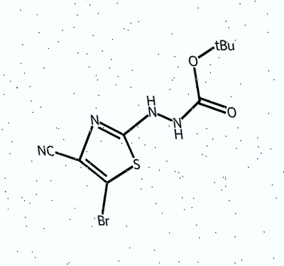 CC(C)(C)OC(=O)NNc1nc(C#N)c(Br)s1